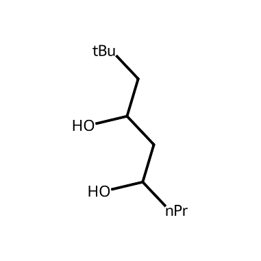 CCCC(O)CC(O)CC(C)(C)C